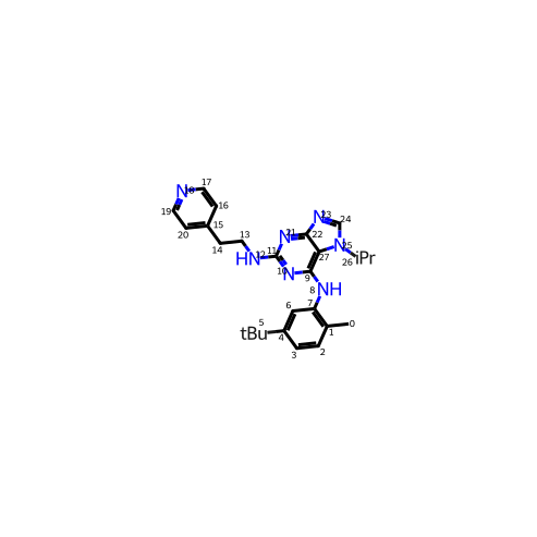 Cc1ccc(C(C)(C)C)cc1Nc1nc(NCCc2ccncc2)nc2ncn(C(C)C)c12